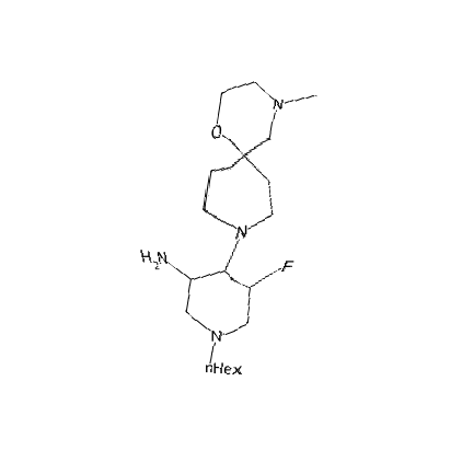 CCCCCCN1CC(N)C(N2CCC3(CC2)CN(C)CCO3)C(F)C1